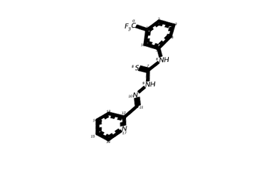 FC(F)(F)c1cccc(NC(=S)NN=Cc2ccccn2)c1